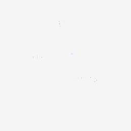 CCCC/C(=C\C(C)C)c1cccs1